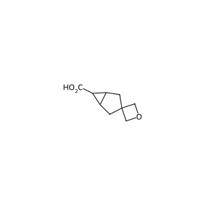 O=C(O)C1C2CC3(COC3)CC21